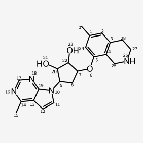 Cc1cc2c(c(OC3CC(n4ccc5c(C)ncnc54)C(O)C3O)c1)CNCC2